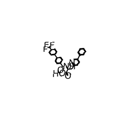 O=C(NC(Cc1ccc(-c2ccccc2)cn1)C(=O)O)c1ccc(-c2ccc(C(F)(F)F)cc2)cc1